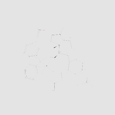 C=C1[C@@H](OC(C)=O)C[C@H]2[C@H](CO[Si](c3ccccc3)(c3ccccc3)C(C)(C)C)[C@@H]([C@@]3(C)CC[C@H](OC(C)=O)C[C@@H]3COC(C)=O)CC[C@]12C